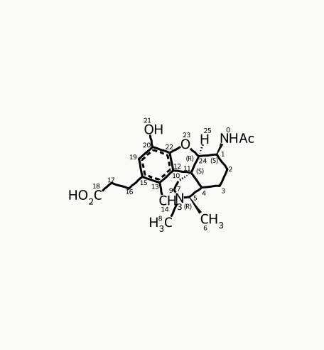 CC(=O)N[C@H]1CCC2[C@@H](C)N(C)CC[C@@]23c2c(C)c(CCC(=O)O)cc(O)c2O[C@@H]13